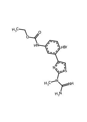 Br.CCOC(=O)Nc1cccc(-c2csc(N(C)C(=N)N)n2)c1